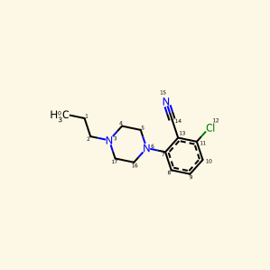 CCCN1CCN(c2cccc(Cl)c2C#N)CC1